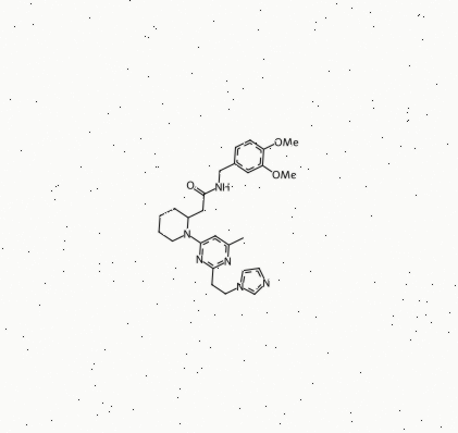 COc1ccc(CNC(=O)CC2CCCCN2c2cc(C)nc(CCn3ccnc3)n2)cc1OC